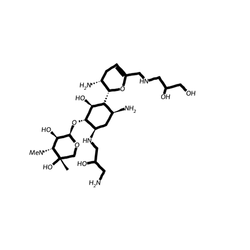 CN[C@@H]1[C@@H](O)[C@@H](O[C@H]2[C@H](NCC(O)CN)C[C@H](N)C([C@H]3OC(CNCC(O)CO)=CC[C@H]3N)[C@@H]2O)OC[C@]1(C)O